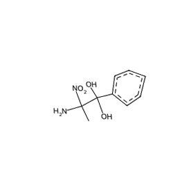 CC(N)([N+](=O)[O-])C(O)(O)c1ccccc1